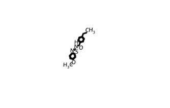 CCCc1ccc(C(=O)Nc2nc3ccc(OC)cc3s2)cc1